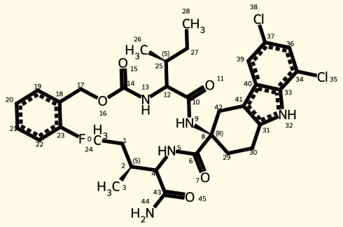 CC[C@H](C)C(NC(=O)[C@@]1(NC(=O)C(NC(=O)OCc2ccccc2F)[C@@H](C)CC)CCc2[nH]c3c(Cl)cc(Cl)cc3c2C1)C(N)=O